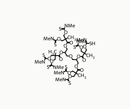 CNC(=S)OCC(C)(COC(=S)NC)C(=O)OCC(COCC(COC(=O)C(C)(COC(=S)NC)COC(=S)NC)OC(=O)C(C)(COC(=S)NC)COC(S)NC)OC(=O)C(C)(COC(=S)NC)COC(=S)NC